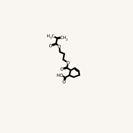 C=C(C)C(=O)OCCCOC(=O)C1C=CCCC1C(=O)O